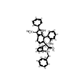 Cc1c(-c2ccccc2)[nH]c2c3c(ccc12)[C@@]1(Nc2ccccc2-3)C(=O)N(Cc2ccccc2)c2ccccc21